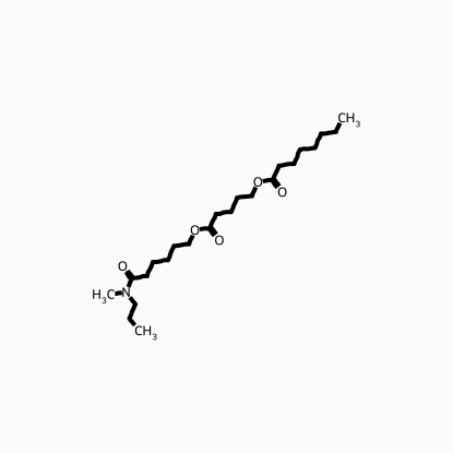 CCCCCCCC(=O)OCCCCC(=O)OCCCCCC(=O)N(C)CCC